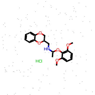 COc1cccc(OC)c1OC(C)NCC1COc2ccccc2O1.Cl